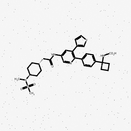 CN([C@H]1CC[C@H](CC(=O)Nc2cnc(-c3ccc(C4(NC(=O)O)CCC4)cc3)c(-c3ccsc3)c2)CC1)S(C)(=O)=O